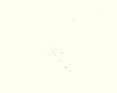 Cc1nnc(C(C)C)n1C1CC2CCC(C1)N2CC[C@H](NC(=O)C1CCC(F)(F)CC1)c1ccc(NC(=O)OC(C)(C)C)cc1